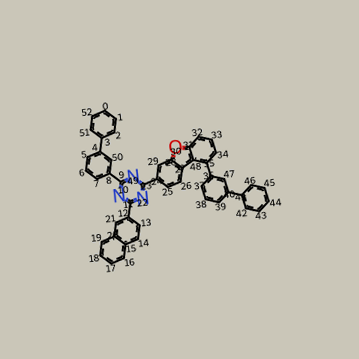 c1ccc(-c2cccc(-c3nc(-c4ccc5ccccc5c4)nc(-c4ccc5c(c4)oc4cccc(-c6cccc(-c7ccccc7)c6)c45)n3)c2)cc1